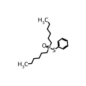 CCCCCCP(=O)(CCCCCC)Sc1ccccc1